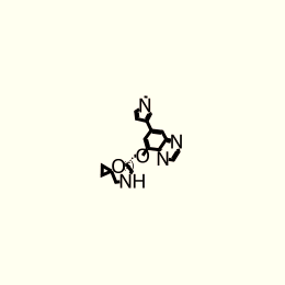 Cn1ccc(-c2cc(OC[C@@H]3CNCC4(CC4)O3)c3nccnc3c2)c1